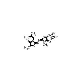 C=C(C)CN1C(=O)C(C)S/C1=N/N=C1/SC(O[Si](C(C)C)(C(C)C)C(C)C)C(=O)N1C